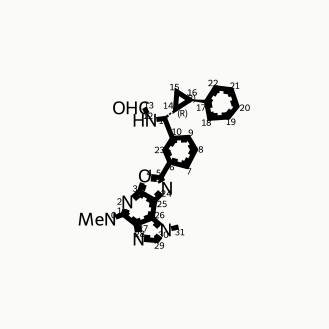 CNc1nc2oc(-c3cccc(C(NC=O)[C@@H]4C[C@H]4c4ccccc4)c3)nc2c2c1ncn2C